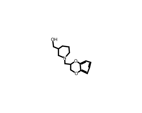 OCC1CCCN(CC2COc3ccccc3O2)C1